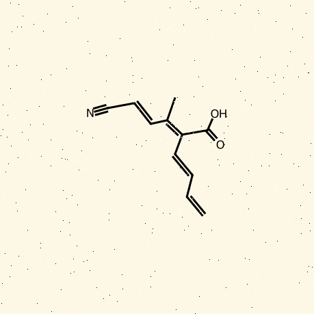 C=CC=CC(C(=O)O)=C(C)C=CC#N